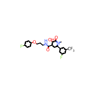 Cn1c(-c2cc(F)cc(C(F)(F)F)c2)cc(C(=O)NCCCOc2ccc(F)cc2)c(O)c1=O